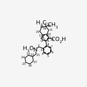 CN(Cc1ccccc1-c1sc2c(c1C(=O)O)CC(C)(C)CC2)CC1CCCCC1